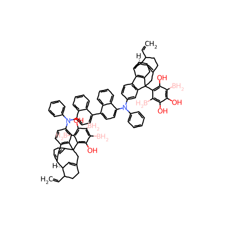 Bc1c(B)c(O)c(C23CC4=C[C@H](C5=CCCC2=C5c2ccc(N(c5ccccc5)c5ccc(-c6ccc(N(c7ccccc7)c7ccc8c(c7)C7(c9c(B)c(O)c(O)c(B)c9O)CC9=C[C@@H](C%10=CCCC7=C%108)C(C=C)CC9)c7ccccc67)c6ccccc56)cc23)C(C=C)CC4)c(B)c1O